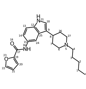 CCCCCN1CCC(c2c[nH]c3ccc(NC(=O)c4ccco4)cc23)CC1